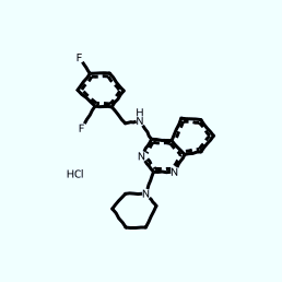 Cl.Fc1ccc(CNc2nc(N3CCCCC3)nc3ccccc23)c(F)c1